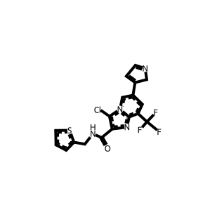 O=C(NCc1cccs1)c1nc2c(C(F)(F)F)cc(C3=CC=NC3)cn2c1Cl